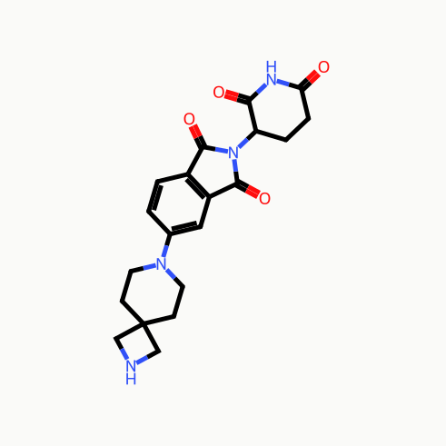 O=C1CCC(N2C(=O)c3ccc(N4CCC5(CC4)CNC5)cc3C2=O)C(=O)N1